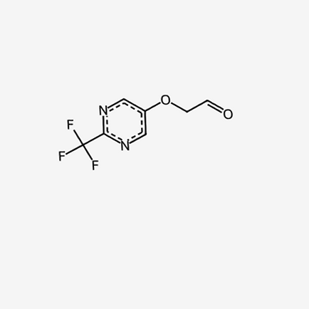 O=CCOc1cnc(C(F)(F)F)nc1